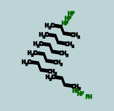 C=CC=C.C=CC=C.C=CC=C.C=CC=C.C=CC=C.C=CC=C.F.F.F.F.F.F